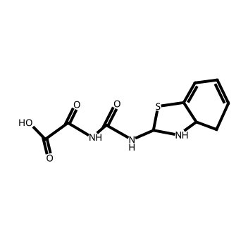 O=C(NC(=O)C(=O)O)NC1NC2CC=CC=C2S1